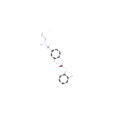 CCC(NC(C)=O)(c1ccc(NC(=O)Nc2ccccc2C)c(OC)c1)N(C)CCC(=O)O